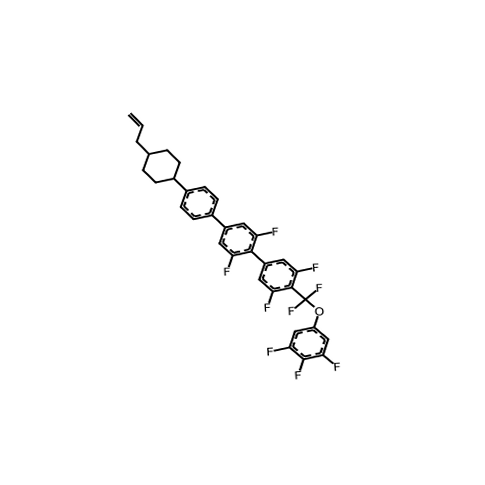 C=CCC1CCC(c2ccc(-c3cc(F)c(-c4cc(F)c(C(F)(F)Oc5cc(F)c(F)c(F)c5)c(F)c4)c(F)c3)cc2)CC1